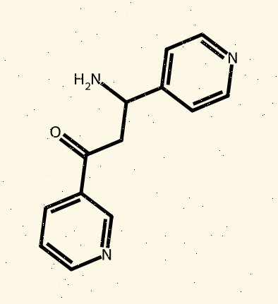 NC(CC(=O)c1cccnc1)c1ccncc1